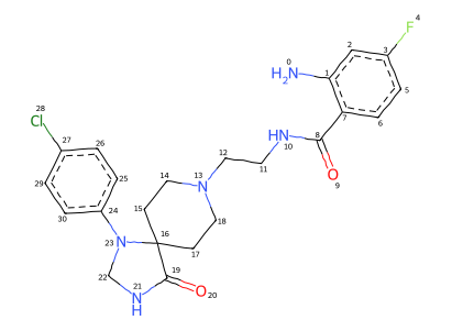 Nc1cc(F)ccc1C(=O)NCCN1CCC2(CC1)C(=O)NCN2c1ccc(Cl)cc1